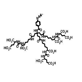 [N-]=[N+]=Nc1ccc(C(=O)NC(CCC(=O)NCCCC[C@H](NC(=O)N[C@@H](CCC(=O)O)C(=O)O)C(=O)O)(CCC(=O)NCCCC[C@H](NC(=O)N[C@@H](CCC(=O)O)C(=O)O)C(=O)O)CCC(=O)NCCCC[C@H](NC(=O)N[C@@H](CCC(=O)O)C(=O)O)C(=O)O)cc1